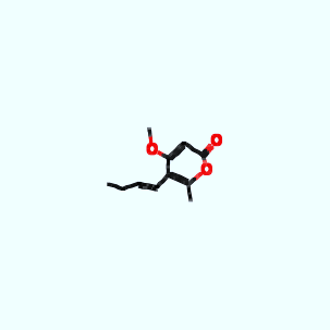 CC/C=C/c1c(OC)cc(=O)oc1C